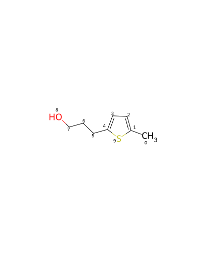 Cc1ccc(CCCO)s1